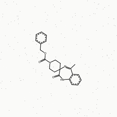 CC1=NC2(CCN(C(=O)OCc3ccccc3)CC2)C(=O)Nc2ccccc21